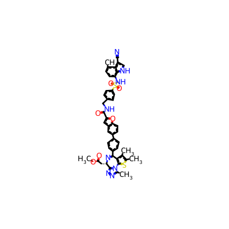 COC(=O)C[C@@H]1N=C(c2ccc(-c3ccc4oc(C(=O)NCc5ccc(S(=O)(=O)Nc6ccc(C)c7c(C#N)c[nH]c67)cc5)cc4c3)cc2)c2c(sc(C)c2C)-n2c(C)nnc21